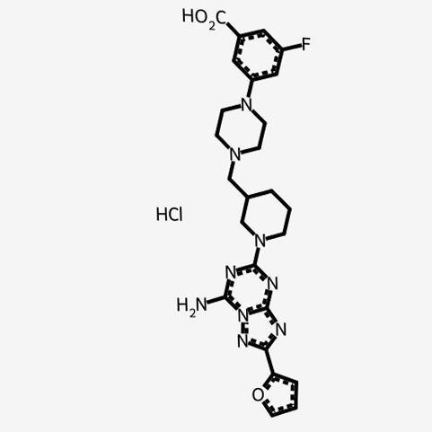 Cl.Nc1nc(N2CCCC(CN3CCN(c4cc(F)cc(C(=O)O)c4)CC3)C2)nc2nc(-c3ccco3)nn12